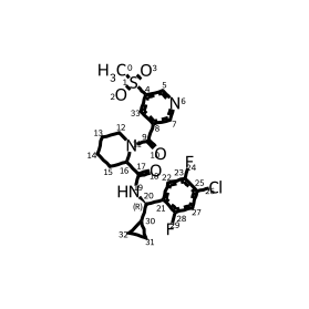 CS(=O)(=O)c1cncc(C(=O)N2CCCCC2C(=O)N[C@@H](c2cc(F)c(Cl)cc2F)C2CC2)c1